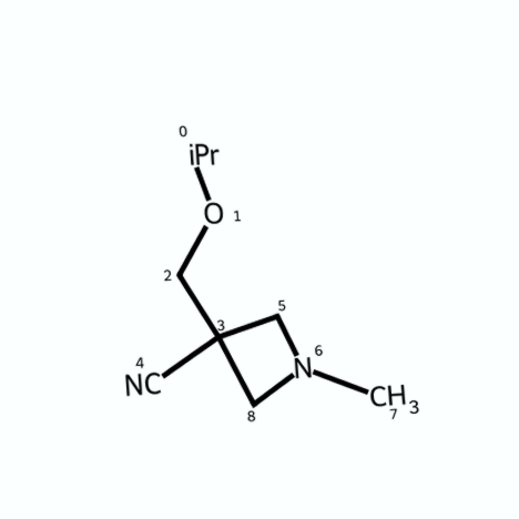 CC(C)OCC1(C#N)CN(C)C1